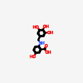 O=C(O)c1cc(O)ccc1NCc1cc(O)c(O)c(O)c1